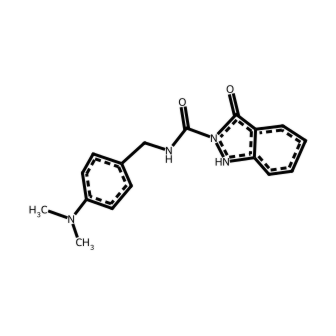 CN(C)c1ccc(CNC(=O)n2[nH]c3ccccc3c2=O)cc1